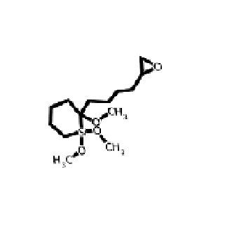 COC1(CCCCC2CO2)CCCC[Si]1(OC)OC